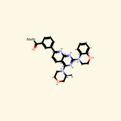 CNC(=O)c1cccc(-c2ccc3c(N4CCOC[C@@H]4C)nc(N4CCOc5ccccc54)nc3n2)c1